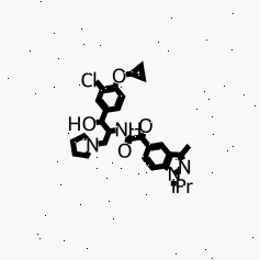 Cc1nn(C(C)C)c2ccc(C(=O)C(=O)NC(CN3CCCC3)C(O)c3ccc(OC4CC4)c(Cl)c3)cc12